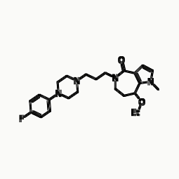 CCOC1CCN(CCCN2CCN(c3ccc(F)cc3)CC2)C(=O)c2ccn(C)c21